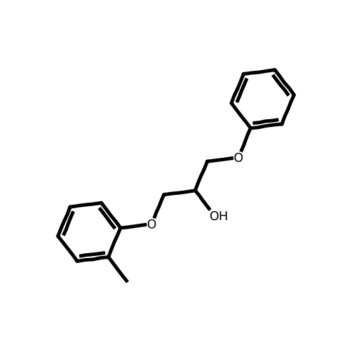 Cc1ccccc1OCC(O)COc1ccccc1